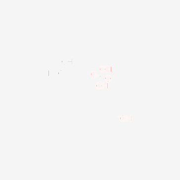 CC(C)CCCCCCCCCCO.O=S(=O)(O)O